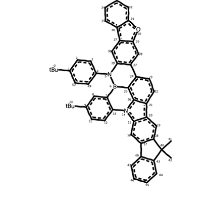 CC(C)(C)c1ccc(N2B3c4cc(C(C)(C)C)ccc4-n4c5cc6c(cc5c5ccc(c3c54)-c3cc4oc5ccccc5c4cc32)C(C)(C)c2ccccc2-6)cc1